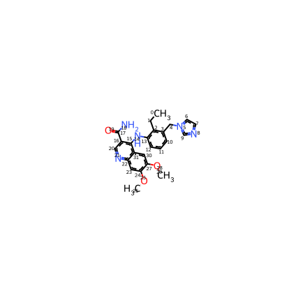 CCc1c(Cn2ccnc2)cccc1Nc1c(C(N)=O)cnc2cc(OC)c(OC)cc12